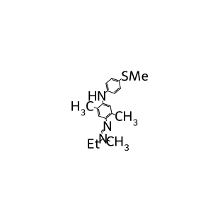 CCN(C)C=Nc1cc(C)c(Nc2ccc(SC)cc2)cc1C